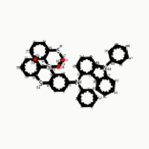 c1ccc(N(c2ccc3c(c2)[Si]2(c4ccccc4Sc4ccccc42)c2ccccc2S3)c2cccc3c2c2ccccc2n3-c2ccccc2)cc1